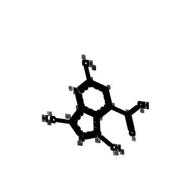 Cc1cc(C(=O)O)c2c(n1)c(C)nn2C